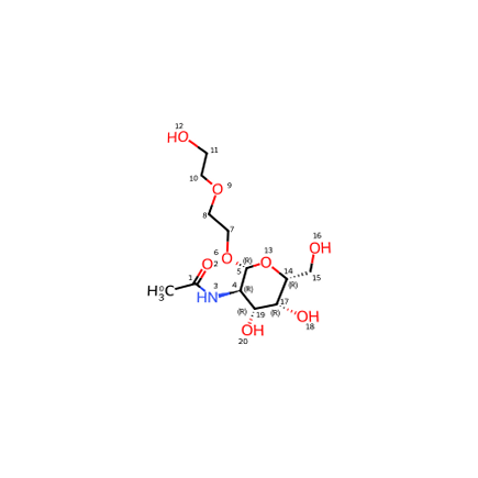 CC(=O)N[C@H]1[C@H](OCCOCCO)O[C@H](CO)[C@H](O)[C@@H]1O